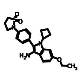 CCOc1ccc2c(N)c(-c3ccc(N4CCCS4(=O)=O)cc3)n(C3CCC3)c2c1